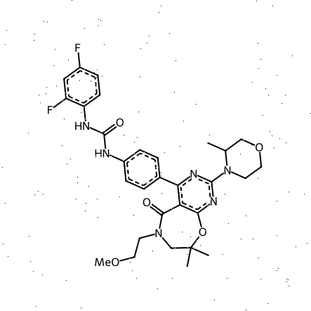 COCCN1CC(C)(C)Oc2nc(N3CCOCC3C)nc(-c3ccc(NC(=O)Nc4ccc(F)cc4F)cc3)c2C1=O